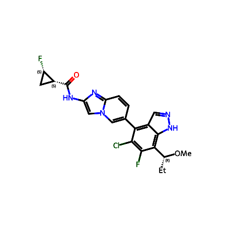 CC[C@@H](OC)c1c(F)c(Cl)c(-c2ccc3nc(NC(=O)[C@@H]4C[C@@H]4F)cn3c2)c2cn[nH]c12